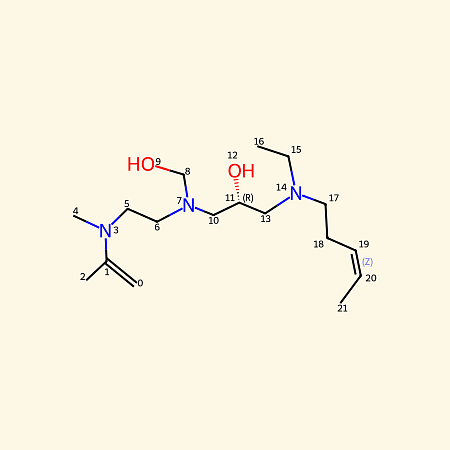 C=C(C)N(C)CCN(CO)C[C@H](O)CN(CC)CC/C=C\C